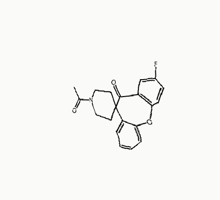 CC(=O)N1CCC2(CC1)C(=O)c1cc(F)ccc1Oc1ccccc12